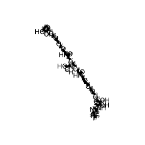 O=C(O)CNC(COCCC(=O)NCCOCCOCCOCCOC[C@H]1OC[C@H](Nc2cncc(C(F)(F)F)n2)[C@@H](O)[C@H]1O)COCCC(=O)NCCOCCOCCOCCOC[C@H]1OCC[C@@H](O)[C@H]1O